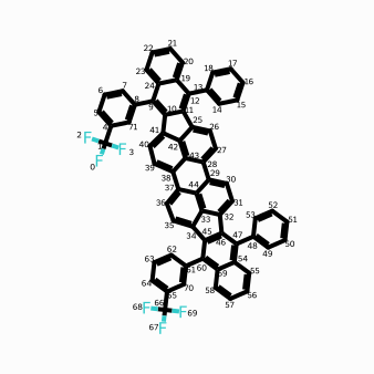 FC(F)(F)c1cccc(-c2c3c(c(-c4ccccc4)c4ccccc24)-c2ccc4c5ccc6c7c(ccc(c8ccc-3c2c48)c75)-c2c-6c(-c3ccccc3)c3ccccc3c2-c2cccc(C(F)(F)F)c2)c1